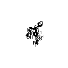 C[C@@H](O)CNc1nccc(-c2sc(C3CCOCC3)nc2-c2cccc(NS(=O)(=O)CCC(F)(F)F)c2Cl)n1